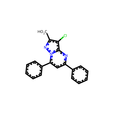 O=C(O)c1nn2c(-c3ccccc3)cc(-c3ccccc3)nc2c1Cl